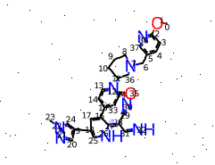 COc1ccc(CN2CCCC(n3ccc(C4=CC(c5cnn(C)c5)=CN/C4=C(/C#N)C=N)cc3=O)C2)cn1